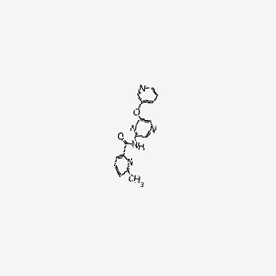 Cc1cccc(C(=O)Nc2cncc(Oc3cccnc3)n2)n1